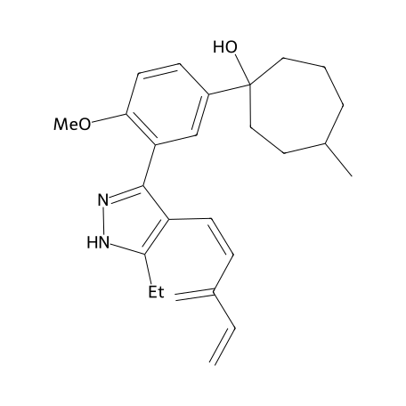 C=CC(=C)/C=C\c1c(-c2cc(C3(O)CCCC(C)CC3)ccc2OC)n[nH]c1CC